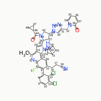 Cc1nc2c(F)c(-c3cccc(Cl)c3Cl)c(CCC#N)cc2c2c1cc(C1CC(n3cc(Cn4ccccc4=O)nn3)CN1C(=O)C1CC1)n2C1C2CNC1C2